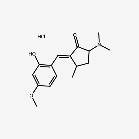 COc1ccc(C=C2C(=O)C(N(C)C)CC2C)c(O)c1.Cl